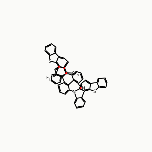 N#Cc1cccc(-n2c3ccccc3c3c4sc5ccccc5c4ccc32)c1-c1c(-c2c(C(F)(F)F)cccc2C(F)(F)F)cccc1-n1c2ccccc2c2c3sc4ccccc4c3ccc21